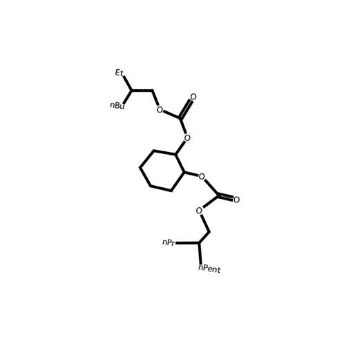 CCCCCC(CCC)COC(=O)OC1CCCCC1OC(=O)OCC(CC)CCCC